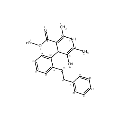 CCCOC(=O)C1=C(C)NC(C)=C(C#N)C1c1ccccc1SCc1ccccc1